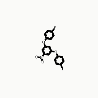 O=[N+]([O-])c1cc(Oc2ccc(F)cc2)cc(Oc2ccc(I)cc2)c1